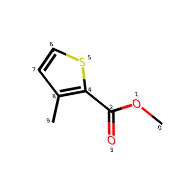 COC(=O)c1s[c]cc1C